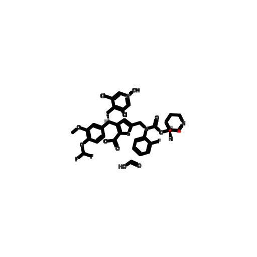 COc1cc([C@H](Cc2c(Cl)c[n+](O)cc2Cl)c2cc(CN(C(=O)O[C@H]3CN4CCC3CC4)c3ccccc3F)sc2C(=O)[O-])ccc1OC(F)F.O=CO